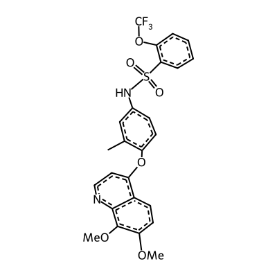 COc1ccc2c(Oc3ccc(NS(=O)(=O)c4ccccc4OC(F)(F)F)cc3C)ccnc2c1OC